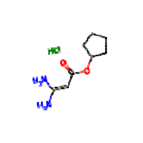 Cl.NC(N)=CC(=O)OC1CCCC1